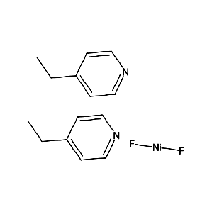 CCc1ccncc1.CCc1ccncc1.[F][Ni][F]